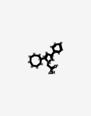 O=C(O)Cn1nc(-c2ccccc2)cc1C1CCCCCCC1